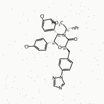 CCC[C@@H](C(=O)O)N1C(=O)[C@@H](Cc2ccc(-n3cncn3)cc2)O[C@H](c2ccc(Cl)cc2)[C@@H]1c1ccc(Cl)cc1